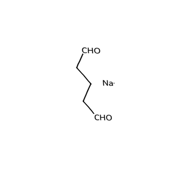 O=CCCCC=O.[Na]